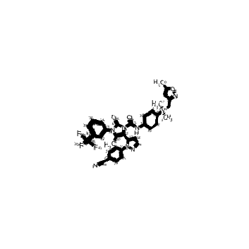 Cc1cc(C[N+](C)(C)C2CCC(NC(=O)n3c(-c4ccnn4-c4ccc(C#N)cc4)c(C)n(-c4cccc(C(F)(F)F)c4)c3=O)CC2)no1